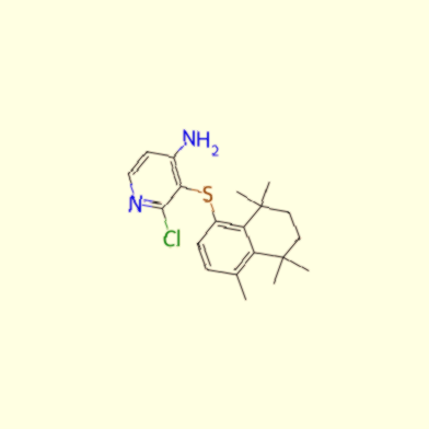 Cc1ccc(Sc2c(N)ccnc2Cl)c2c1C(C)(C)CCC2(C)C